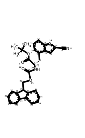 CC(C)(C)OC(=O)[C@H](Cc1cccc2sc(C#N)cc12)NC(=O)OCC1c2ccccc2-c2ccccc21